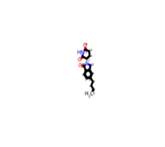 C=CCCc1ccc2c(c1)CN([C@H]1CCC(=O)NC1=O)C2=O